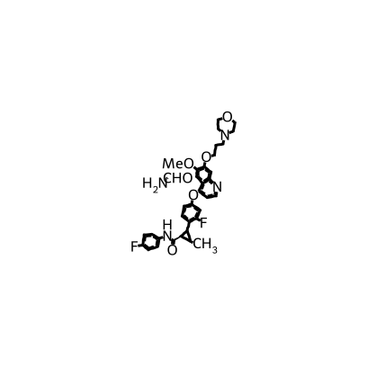 COc1cc2c(Oc3ccc(C4[C@@H](C)[C@H]4C(=O)Nc4ccc(F)cc4)c(F)c3)ccnc2cc1OCCCN1CCOCC1.NC=O